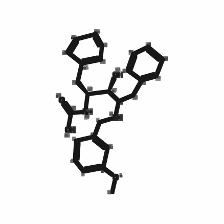 COc1cccc(CNC(Cc2ccccc2)[C@H](O)[C@H](Cc2ccccc2)NC(=O)O)c1